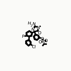 CC(C)S(=O)(=O)Oc1cccc(C2(c3ccc(F)c(-c4cccc(Cl)c4)c3)N=C(N)N(C)C2=O)c1